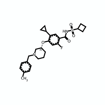 Cc1ccc(CN2CCC[C@@H](Oc3cc(F)c(C(=O)NS(=O)(=O)C4CCC4)cc3C3CC3)C2)cc1